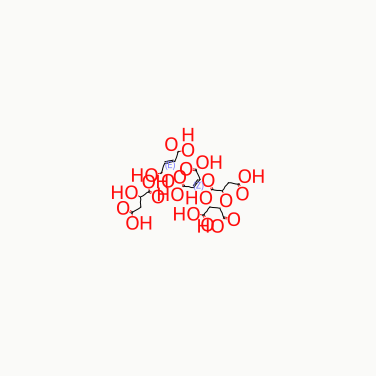 O=C(O)/C=C/C(=O)O.O=C(O)/C=C\C(=O)O.O=C(O)CC(O)C(=O)O.O=C(O)CC(OC(CC(=O)O)C(=O)O)C(=O)O